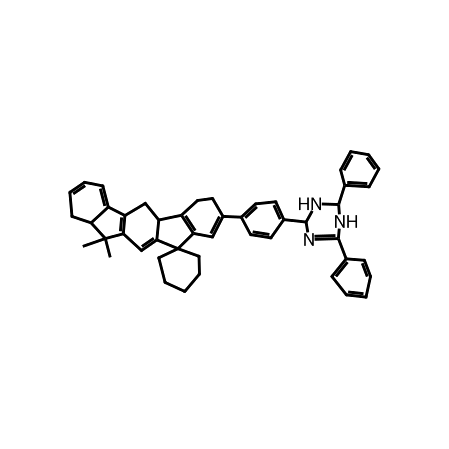 CC1(C)C2=C(CC3C(=C2)C2(CCCCC2)C2=C3CCC(c3ccc(C4N=C(c5ccccc5)NC(c5ccccc5)N4)cc3)=C2)C2=CC=CCC21